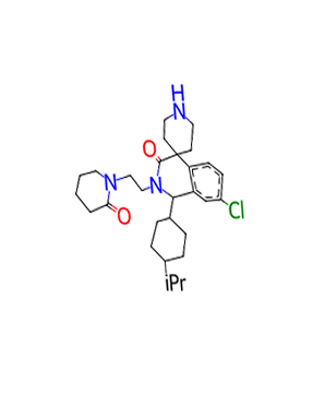 CC(C)C1CCC(C2c3cc(Cl)ccc3C3(CCNCC3)C(=O)N2CCN2CCCCC2=O)CC1